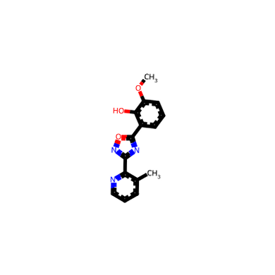 COc1cccc(-c2nc(-c3ncccc3C)no2)c1O